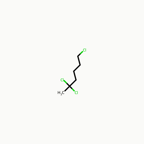 CC(Cl)(Cl)CCCCCl